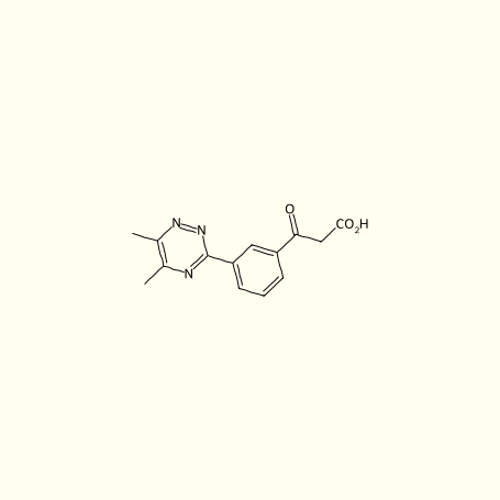 Cc1nnc(-c2cccc(C(=O)CC(=O)O)c2)nc1C